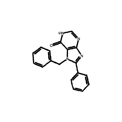 O=c1[nH]cnc2nc(-c3ccccc3)n(Cc3ccccc3)c12